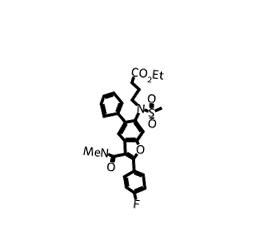 CCOC(=O)CCCN(c1cc2oc(-c3ccc(F)cc3)c(C(=O)NC)c2cc1-c1ccccc1)S(C)(=O)=O